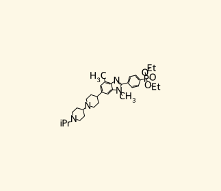 CCOP(=O)(OCC)c1ccc(-c2nc3c(C)cc(C4CCN(C5CCN(C(C)C)CC5)CC4)cc3n2C)cc1